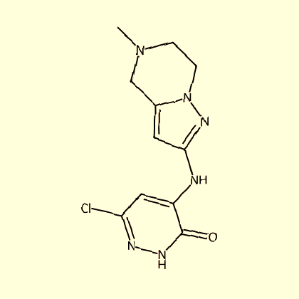 CN1CCn2nc(Nc3cc(Cl)n[nH]c3=O)cc2C1